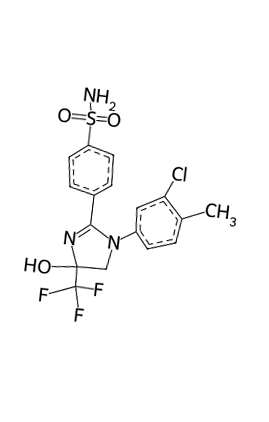 Cc1ccc(N2CC(O)(C(F)(F)F)N=C2c2ccc(S(N)(=O)=O)cc2)cc1Cl